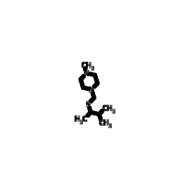 CC(C)C(C)SCN1CCN(C)CC1